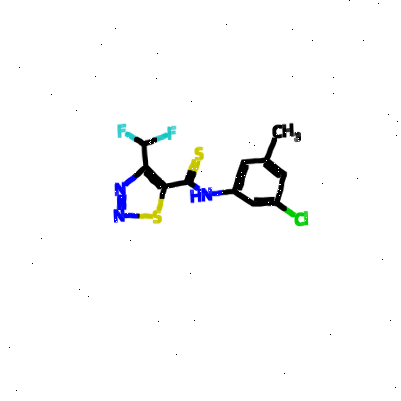 Cc1cc(Cl)cc(NC(=S)c2snnc2C(F)F)c1